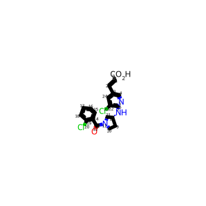 O=C(O)C=Cc1cnc(N[C@@H]2CCN(C(=O)c3ccccc3Cl)C2)c(Cl)c1